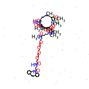 COc1cc2cc(c1Cl)N(C)C(=O)C[C@H](OC(=O)[C@H](C)N(C)C(=O)CCCC(=O)N(C)CCOCCOCCOCCOCCC(=O)NCCC(=O)N1Cc3ccccc3/C=C\c3ccccc31)[C@]1(C)O[C@H]1[C@H](C)[C@@H]1C[C@](O)(C/C=C/C=C(/C)C2)NC(=O)O1